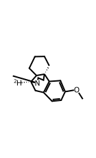 [2H][C@]12Cc3ccc(OC)cc3[C@@]3(CCCCC31)CCN2C